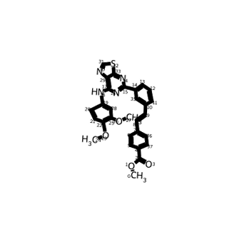 COC(=O)c1ccc(C=Cc2cccc(-c3nc(Nc4ccc(OC)c(OC)c4)c4ncsc4n3)c2)cc1